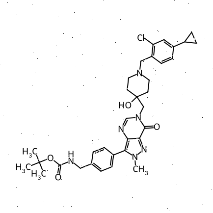 Cn1nc2c(=O)n(CC3(O)CCN(Cc4ccc(C5CC5)cc4Cl)CC3)cnc2c1-c1ccc(CNC(=O)OC(C)(C)C)cc1